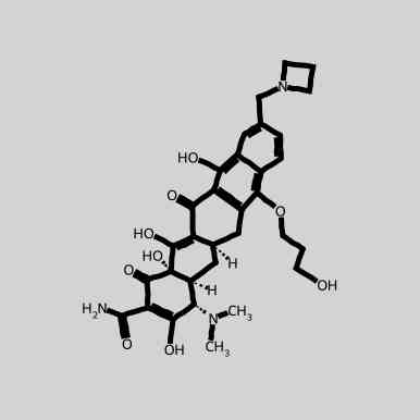 CN(C)[C@@H]1C(O)=C(C(N)=O)C(=O)[C@@]2(O)C(O)=C3C(=O)c4c(c(OCCCO)c5ccc(CN6CCC6)cc5c4O)C[C@H]3C[C@@H]12